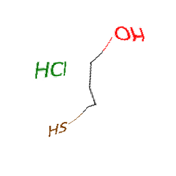 Cl.OCCS